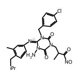 Cc1cc(/N=c2\n(N)c(=O)n(CC(C)C(=O)N=O)c(=O)n2Cc2ccc(Cl)cc2)ccc1CC(C)C